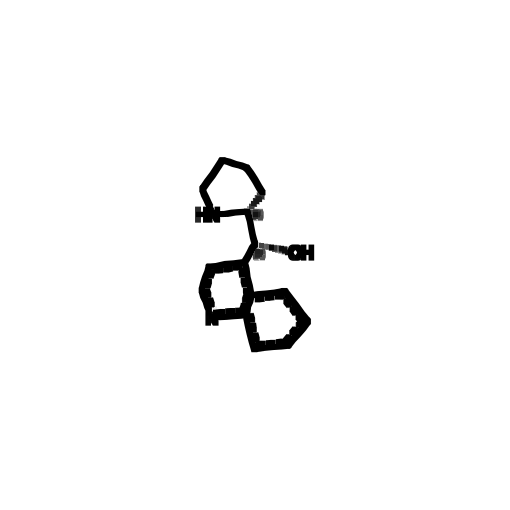 O[C@H](c1ccnc2ccccc12)[C@H]1CCCCN1